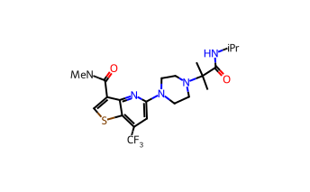 CNC(=O)c1csc2c(C(F)(F)F)cc(N3CCN(C(C)(C)C(=O)NC(C)C)CC3)nc12